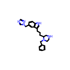 c1ccc(CN2CCNCC2CCCc2c[nH]c3ccc(Cn4cncn4)cc23)cc1